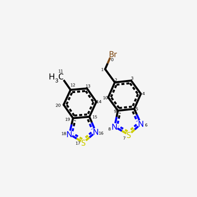 BrCc1ccc2nsnc2c1.Cc1ccc2nsnc2c1